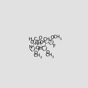 COc1cc(F)cc(C(c2cc(F)cc(OC)c2)[C@H](C)OC(=O)[C@H](C)NC(=O)c2nccc(OC)c2O)c1